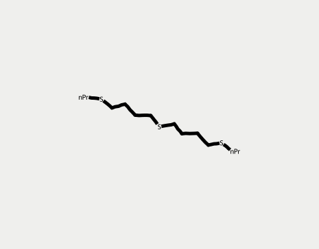 CCCSCCCCSCCCCSCCC